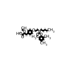 CCCCCN(CCOc1ccc(CC(OCC)C(=O)O)cc1)C(=O)Oc1c(C)cc(C)cc1C